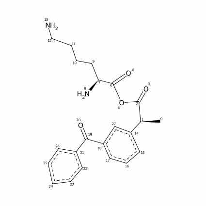 C[C@H](C(=O)OC(=O)[C@@H](N)CCCCN)c1cccc(C(=O)c2ccccc2)c1